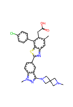 Cc1cc2nc(-c3ccc4c(c3)c(N3CC5(CN(C)C5)C3)nn4C)sc2c(-c2ccc(Cl)cc2)c1CC(=O)O